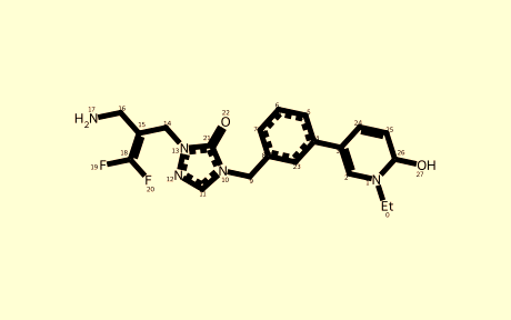 CCN1C=C(c2cccc(Cn3cnn(CC(CN)=C(F)F)c3=O)c2)C=CC1O